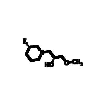 COC[C@H](O)CN1CCC[C@H](F)C1